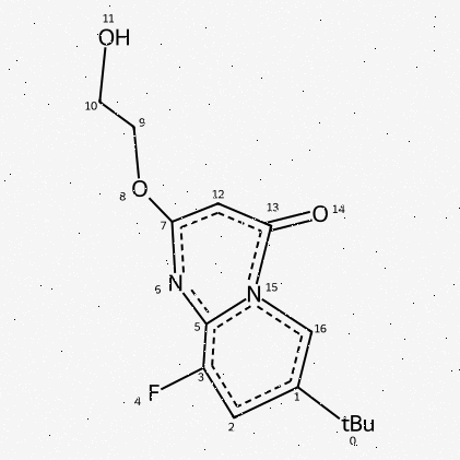 CC(C)(C)c1cc(F)c2nc(OCCO)cc(=O)n2c1